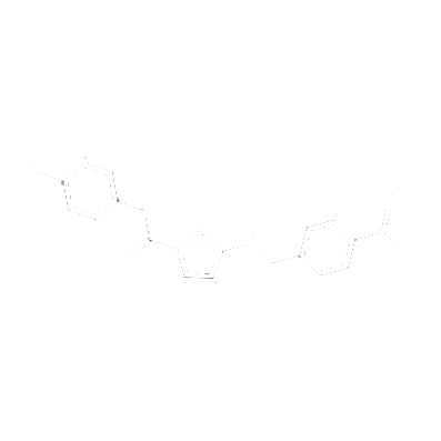 O=[N+]([O-])c1ccc(COc2ccn(C(=S)Nc3ccc(Cl)cc3)n2)cc1